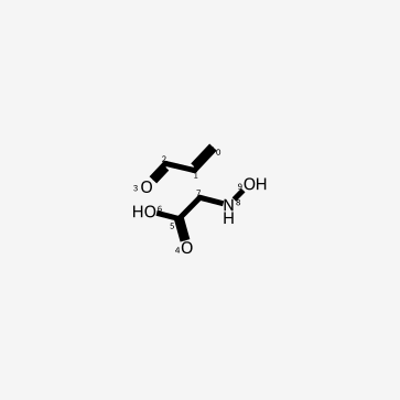 C=CC=O.O=C(O)CNO